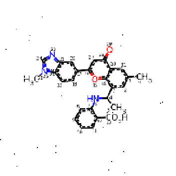 Cc1cc(C(C)Nc2ccccc2C(=O)O)c2oc(-c3ccc4c(c3)ncn4C)cc(=O)c2c1